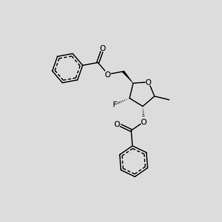 CC1O[C@H](COC(=O)c2ccccc2)[C@@H](F)[C@H]1OC(=O)c1ccccc1